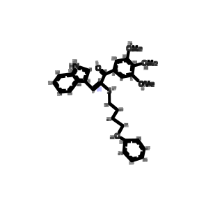 COc1cc(C(=O)/C(=C\c2c[nH]c3ccccc23)SCCCCOc2ccccc2)cc(OC)c1OC